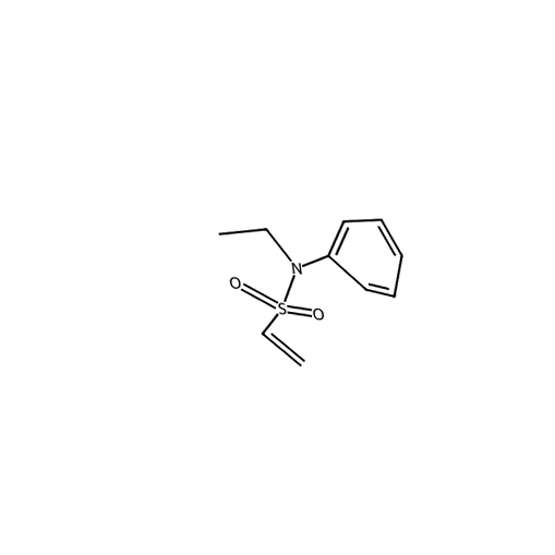 C=CS(=O)(=O)N(CC)c1ccccc1